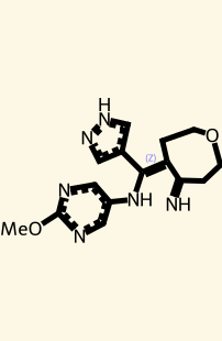 COc1ncc(N/C(=C2/CCOCCC2=N)c2cn[nH]c2)cn1